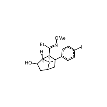 CCC(=NOC)[C@H]1C(c2ccc(I)cc2)CC2CC(O)[C@H]1N2C